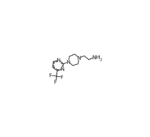 NCCN1CCN(c2nccc(C(F)(F)F)n2)CC1